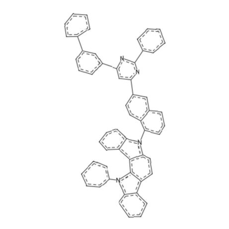 c1ccc(-c2cccc(-c3cc(-c4ccc5c(-n6c7ccccc7c7c6ccc6c8ccccc8n(-c8ccccc8)c67)cccc5c4)nc(-c4ccccc4)n3)c2)cc1